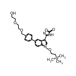 C[Si](C)(C)CCOCn1cc(-c2noc(=O)[nH]2)c2cc(-c3ccc(COCCOCCO)cc3)ccc21